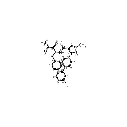 Cc1cc(C(=O)NC(Cc2ccccc2)C(=O)C(N)=O)n(-c2ccc(-c3cccc(F)c3)cc2)n1